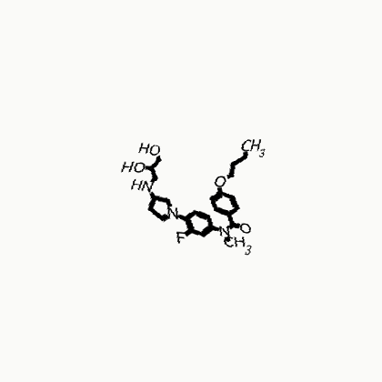 CCCCOc1ccc(C(=O)N(C)c2ccc(N3CCC(NCC(O)CO)C3)c(F)c2)cc1